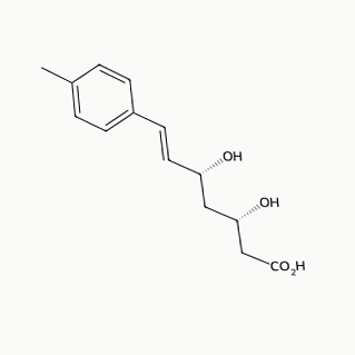 Cc1ccc(C=C[C@H](O)C[C@H](O)CC(=O)O)cc1